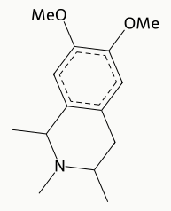 COc1cc2c(cc1OC)C(C)N(C)C(C)C2